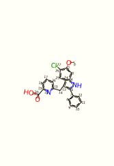 COc1cc2[nH]c(-c3ccccc3)c(Cc3cccc(C(=O)O)n3)c2cc1Cl